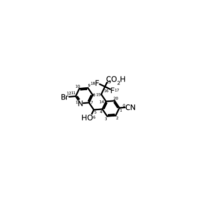 N#Cc1ccc(C(O)c2cccc(Br)n2)c(CC(F)(F)C(=O)O)c1